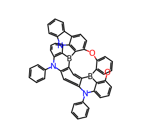 c1ccc(N2c3cc4c5cc3B3c6c(cccc6Oc6ccc7c8ccccc8n8c7c6B5c5c(cccc5-8)N4c4ccccc4)Oc4cccc2c43)cc1